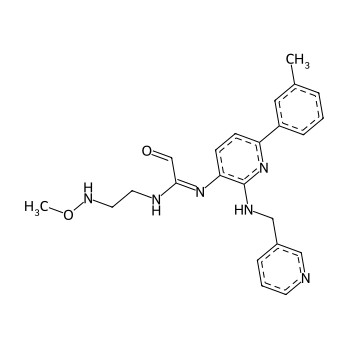 CONCCN/C(C=O)=N/c1ccc(-c2cccc(C)c2)nc1NCc1cccnc1